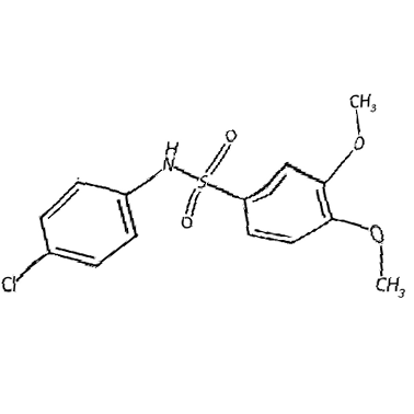 COc1ccc(S(=O)(=O)Nc2[c]cc(Cl)cc2)cc1OC